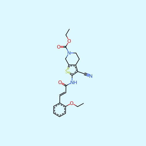 CCOC(=O)N1CCc2c(sc(NC(=O)/C=C/c3ccccc3OCC)c2C#N)C1